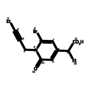 CCC#CCn1c(Br)cc(C(CC)C(=O)O)cc1=O